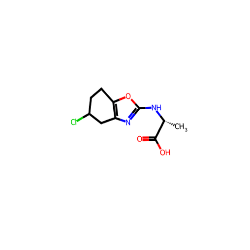 C[C@@H](Nc1nc2c(o1)CCC(Cl)C2)C(=O)O